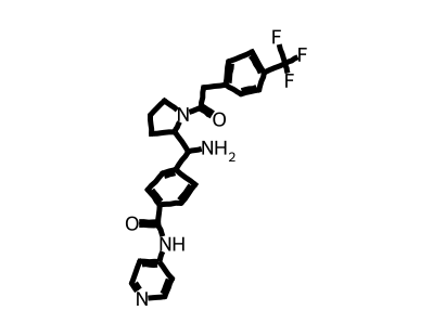 NC(c1ccc(C(=O)Nc2ccncc2)cc1)C1CCCN1C(=O)Cc1ccc(C(F)(F)F)cc1